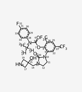 [2H]C([2H])([2H])N(C(=O)Oc1c(N2CCN(CC3(O)CNC3)C2=O)cc(C(F)(F)F)cc1C(F)(F)F)c1ccc(F)cc1